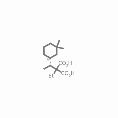 CCC(C(=O)O)(C(=O)O)C(C)[C@@H]1CCCC(C)(C)C1